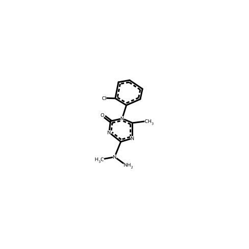 Cc1nc(N(C)N)nc(=O)n1-c1ccccc1Cl